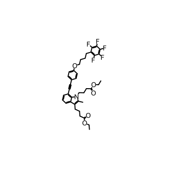 CCOC(=O)CCCc1c(C)n(CCCC(=O)OCC)c2c(C#Cc3ccc(OCCCCc4c(F)c(F)c(F)c(F)c4F)cc3)cccc12